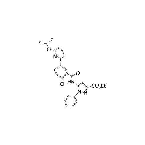 CCOC(=O)c1cc(NC(=O)c2cc(-c3cccc(OC(F)F)n3)ccc2Cl)n(-c2ccccc2)n1